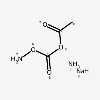 CC(=O)OC(=O)ON.N.[NaH]